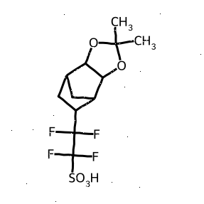 CC1(C)OC2C3CC(C2O1)C(C(F)(F)C(F)(F)S(=O)(=O)O)C3